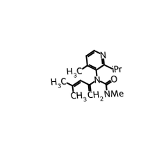 C=C(C=C(C)C)N(C(=O)NC)c1c(C)ccnc1C(C)C